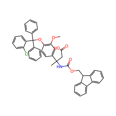 COc1cc(C(C)(CC(=O)O)NC(=O)OCC2c3ccccc3-c3ccccc32)ccc1OC(c1ccccc1)(c1ccccc1)c1ccccc1Cl